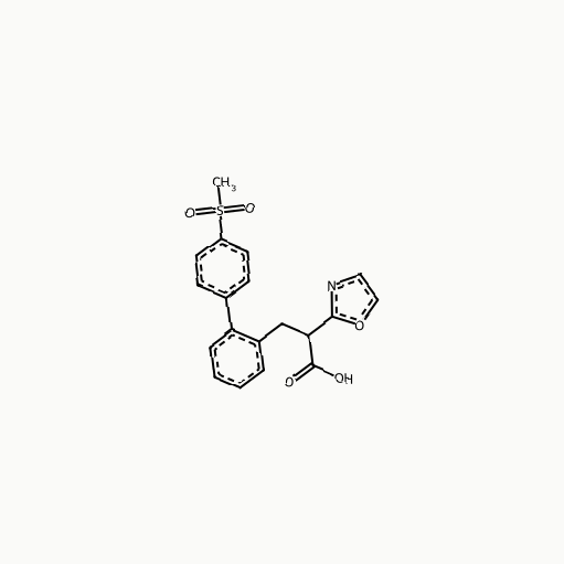 CS(=O)(=O)c1ccc(-c2ccccc2CC(C(=O)O)c2ncco2)cc1